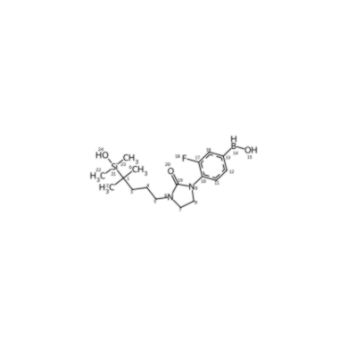 CC(C)(CCCN1CCN(c2ccc(BO)cc2F)C1=O)[Si](C)(C)O